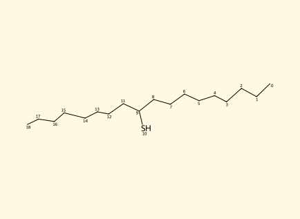 CCCCCCCCCC(S)CCCCCCCC